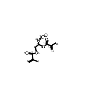 C=C(C)C(=O)OCC(N=C=O)OC(=O)C(=C)C